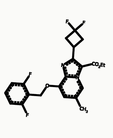 CCOC(=O)c1c(C2CC(F)(F)C2)nc2c(OCc3c(F)cccc3F)cc(C)cn12